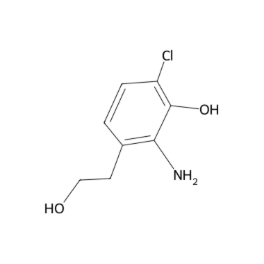 Nc1c(CCO)ccc(Cl)c1O